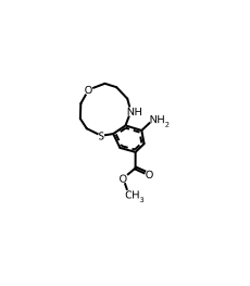 COC(=O)c1cc(N)c2c(c1)SCCCOCCCN2